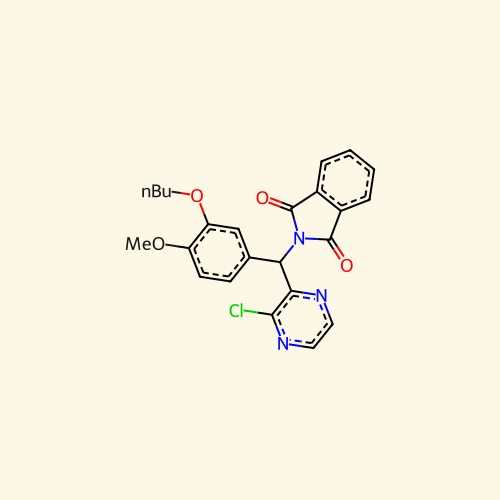 CCCCOc1cc(C(c2nccnc2Cl)N2C(=O)c3ccccc3C2=O)ccc1OC